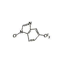 FC(F)(F)c1ccc2c(c1)ncn2Cl